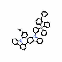 N#Cc1cccc(-n2c3ccccc3c3cccc(-c4ccc5c(c4)c4ccccc4n5-c4cccc([Si](c5ccccc5)(c5ccccc5)c5cccc(-c6ccccc6)c5)c4)c32)c1